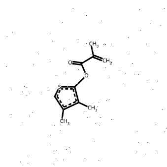 C=C(C)C(=O)Oc1scc(C)c1C